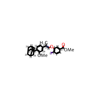 COC(=O)c1ccc(I)c(O/C=C(\C)c2ccc(C34CC5CC(CC(C5)C3)C4)c(OC)c2)c1